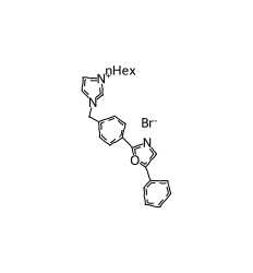 CCCCCC[n+]1ccn(Cc2ccc(-c3ncc(-c4ccccc4)o3)cc2)c1.[Br-]